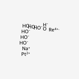 [Na+].[OH-].[OH-].[OH-].[OH-].[OH-].[OH-].[OH-].[Pt+2].[Re+4]